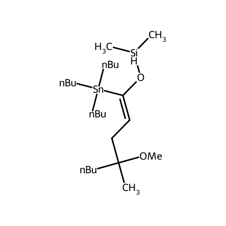 CCCCC(C)(CC=[C](O[SiH](C)C)[Sn]([CH2]CCC)([CH2]CCC)[CH2]CCC)OC